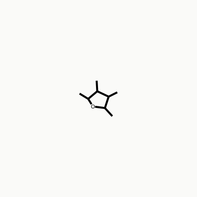 CC1OC(C)C(C)C1C